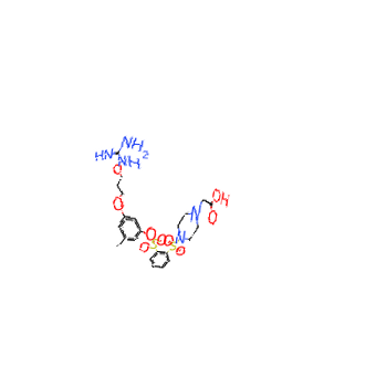 Cc1cc(OCCCONC(=N)N)cc(OS(=O)(=O)c2ccccc2S(=O)(=O)N2CCN(CC(=O)O)CC2)c1